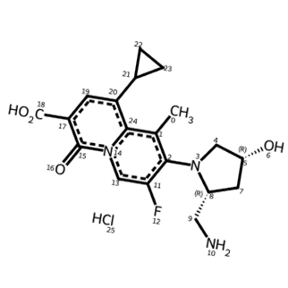 Cc1c(N2C[C@H](O)C[C@@H]2CN)c(F)cn2c(=O)c(C(=O)O)cc(C3CC3)c12.Cl